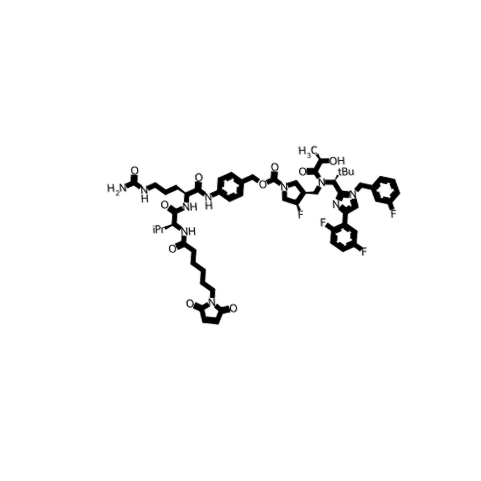 CC(C)[C@H](NC(=O)CCCCCN1C(=O)C=CC1=O)C(=O)N[C@@H](CCCNC(N)=O)C(=O)Nc1ccc(COC(=O)N2C[C@@H](CN(C(=O)[C@@H](C)O)[C@@H](c3nc(-c4cc(F)ccc4F)cn3Cc3cccc(F)c3)C(C)(C)C)[C@@H](F)C2)cc1